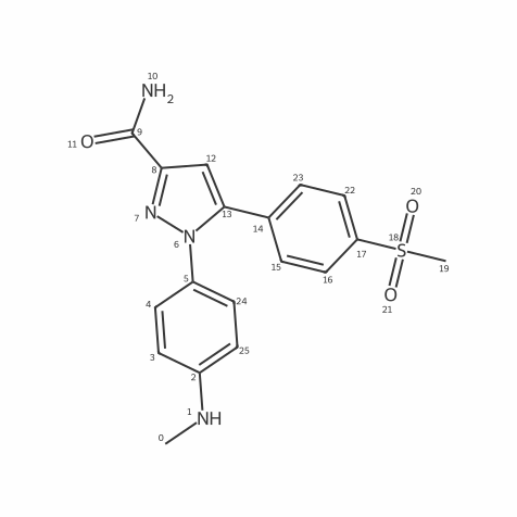 CNc1ccc(-n2nc(C(N)=O)cc2-c2ccc(S(C)(=O)=O)cc2)cc1